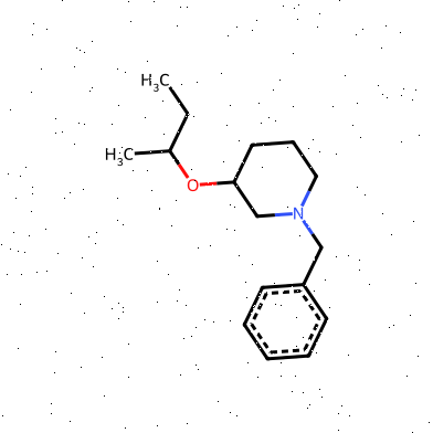 CCC(C)OC1CCCN(Cc2ccccc2)C1